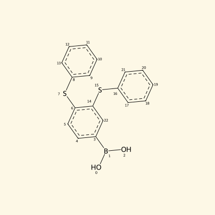 OB(O)c1ccc(Sc2ccccc2)c(Sc2ccccc2)c1